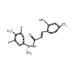 CCCc1cc(C(F)(F)F)ccc1/C=C/C(=O)N[C@H](C)c1cc(F)c(C)c(F)c1